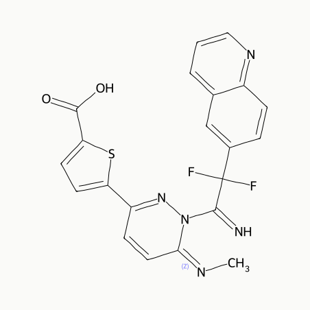 C/N=c1/ccc(-c2ccc(C(=O)O)s2)nn1C(=N)C(F)(F)c1ccc2ncccc2c1